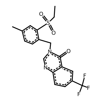 CCS(=O)(=O)c1cc(C)ccc1Cn1cnc2ccc(C(F)(F)F)cc2c1=O